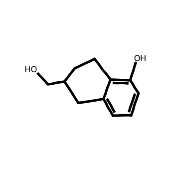 OCC1CCc2c(O)cccc2C1